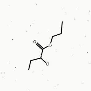 CCCOC(=O)C(Cl)CC